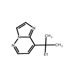 CCC(C)(C)c1ccnn2ccnc12